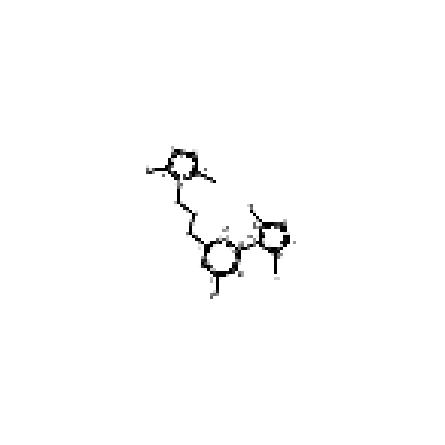 Cc1cc(CCCn2c(C)ccc2C)nc(-n2c(C)ccc2C)c1